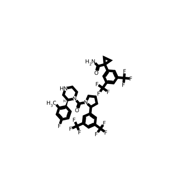 Cc1cc(F)ccc1[C@H]1CNCCN1C(=O)N1CCCC1c1cc(C(F)(F)F)cc(C(F)(F)F)c1.NC(=O)C1(c2cc(C(F)(F)F)cc(C(F)(F)F)c2)CC1